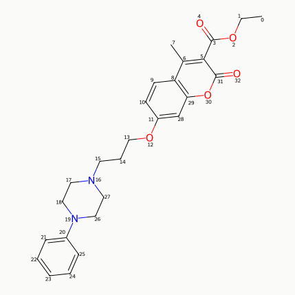 CCOC(=O)c1c(C)c2ccc(OCCCN3CCN(c4ccccc4)CC3)cc2oc1=O